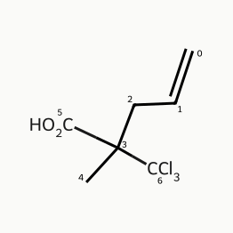 C=CCC(C)(C(=O)O)C(Cl)(Cl)Cl